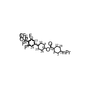 CCCC1CCC(C(=O)OC2CCC(c3cc(F)c(C(F)(F)OC(F)(F)F)c(F)c3)CC2)CC1